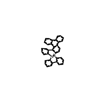 c1ccc2c(c1)B1c3ccc4c5ccccc5c5ccccc5c4c3-c3ccccc3N1c1ccccc1-2